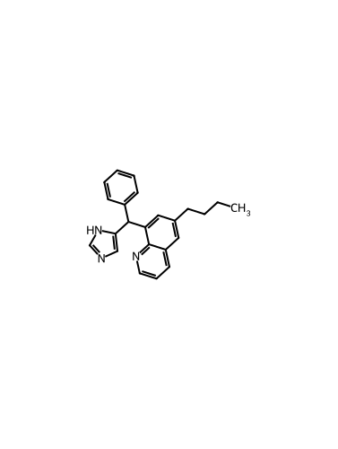 CCCCc1cc(C(c2ccccc2)c2cnc[nH]2)c2ncccc2c1